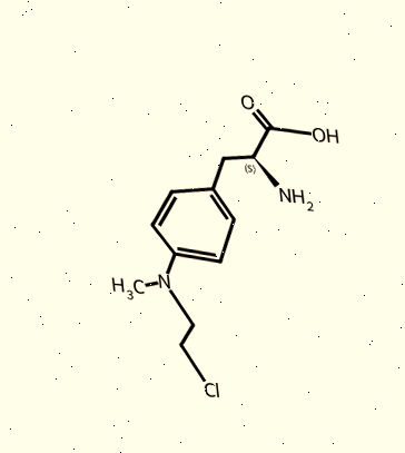 CN(CCCl)c1ccc(C[C@H](N)C(=O)O)cc1